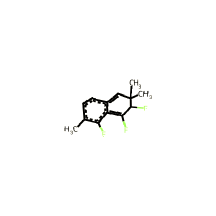 Cc1ccc2c(c1F)=C(F)C(F)C(C)(C)C=2